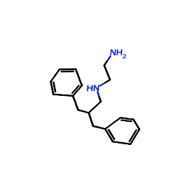 NCCNCC(Cc1ccccc1)Cc1ccccc1